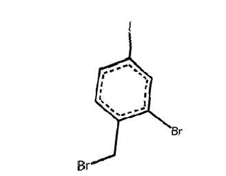 BrCc1ccc(I)cc1Br